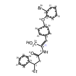 CCC(CC(=O)N/C(=C/c1ccc(Oc2ccccc2Br)cc1)C(=O)O)c1ccccc1